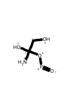 NC(O)(CO)OP=O